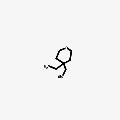 CC(C)(C)CC1(CN)CCOCC1